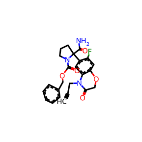 C#CCN1C(=O)COc2cc(F)c(C3(C(N)=O)CCCN3C(=O)OCc3ccccc3)cc21